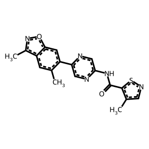 Cc1cc2c(C)noc2cc1-c1cnc(NC(=O)c2sncc2C)cn1